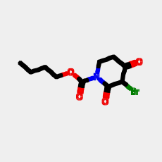 CCCCOC(=O)N1CCC(=O)C(Br)C1=O